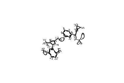 COC(=O)CC(c1cccc(OCc2cc(-c3cc(OC)ccc3F)c(C(C)(C)C)s2)c1)C1CC1